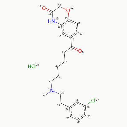 CN(CCCCCC(=O)c1ccc2c(c1)NC(=O)CO2)CCc1cccc(Cl)c1.Cl